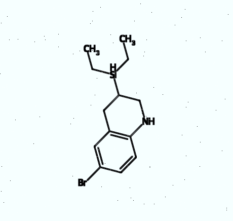 CC[SiH](CC)C1CNc2ccc(Br)cc2C1